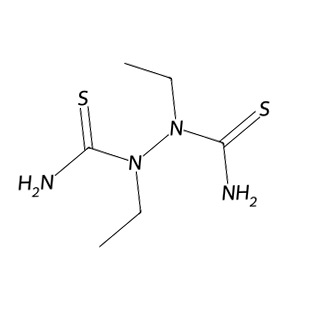 CCN(C(N)=S)N(CC)C(N)=S